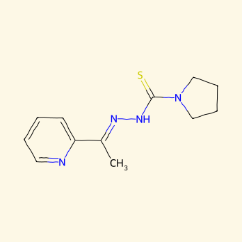 CC(=NNC(=S)N1CCCC1)c1ccccn1